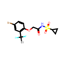 CCC(F)(F)c1cc(Br)ccc1OCC(=O)NS(=O)(=O)C1CC1